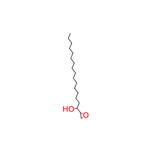 CCCCCCCCCCCCCCCC(O)C1CO1